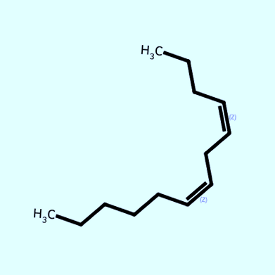 CCC/C=C\C/C=C\CCCCC